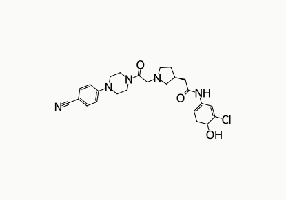 N#Cc1ccc(N2CCN(C(=O)CN3CC[C@@H](CC(=O)NC4=CCC(O)C(Cl)=C4)C3)CC2)cc1